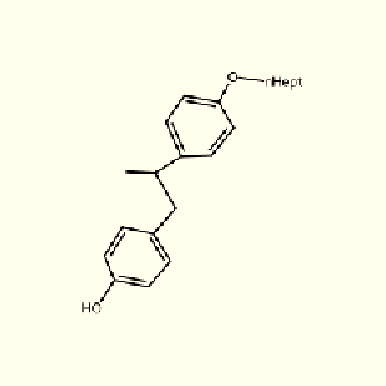 CCCCCCCOc1ccc(C(C)Cc2ccc(O)cc2)cc1